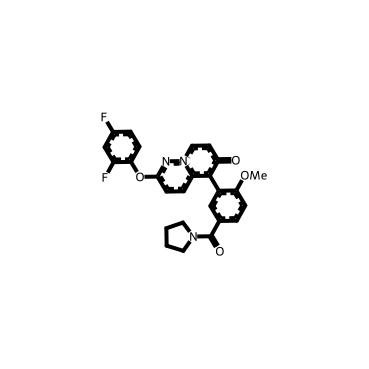 COc1ccc(C(=O)N2CCCC2)cc1-c1c(=O)ccn2nc(Oc3ccc(F)cc3F)ccc12